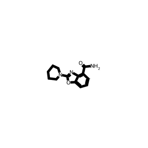 NC(=O)c1[c]ccc2oc(N3CCCCC3)nc12